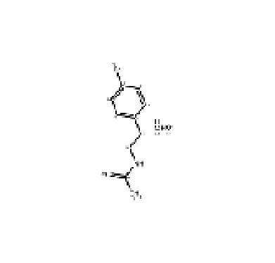 [B+2]c1ccc(CCNC(C)=O)cc1.[OH-].[OH-]